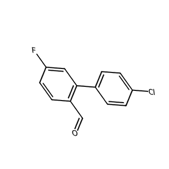 O=Cc1ccc(F)cc1-c1ccc(Cl)cc1